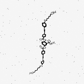 COC(=O)c1cc(OC(=O)c2ccc(C#Cc3ccc(SCCCCCCO)cc3)cc2)ccc1OC(=O)c1ccc(C#Cc2ccc(SCCCCCCO)cc2)cc1